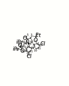 CCC(=O)C[C@@]1(C)C[C@H](c2cccc(Cl)c2)[C@@H](c2ccc(Cl)cc2)N([C@H](CS(=O)(=O)C(C)C)C(C)C)C1=O